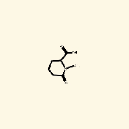 CN1C(=O)CCCC1C(=O)O